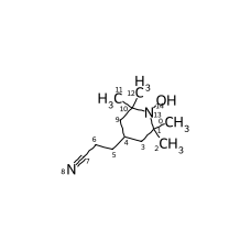 CC1(C)CC(CCC#N)CC(C)(C)N1O